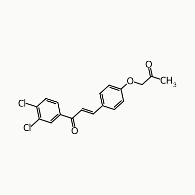 CC(=O)COc1ccc(/C=C/C(=O)c2ccc(Cl)c(Cl)c2)cc1